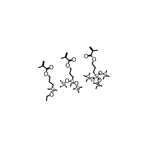 C=C(C)C(=O)OCCC[Si](C)(C)OCC.C=C(C)C(=O)OCCC[Si](C)(O[Si](C)(C)C)O[Si](C)(C)C.C=C(C)C(=O)OCCC[Si](O[Si](C)(C)C)(O[Si](C)(C)C)O[Si](C)(C)C